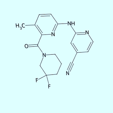 Cc1ccc(Nc2cc(C#N)ccn2)nc1C(=O)N1CCCC(F)(F)C1